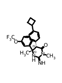 CN1C(=N)N[C@](C)(c2cccc(OC(F)(F)F)c2)[C@H](c2ccc(C3CCC3)cc2)C1=O